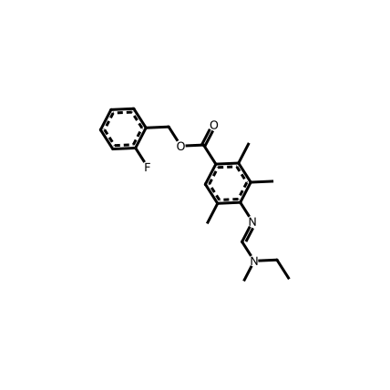 CCN(C)/C=N/c1c(C)cc(C(=O)OCc2ccccc2F)c(C)c1C